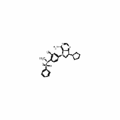 CN(c1ccc(N2CC(C3CCCC3)c3ncnc(N)c32)cc1Cl)S(=O)(=O)c1ccccc1